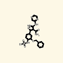 CCS(=O)(=O)Nc1ccc(-c2n[nH]c(Nc3cnccn3)c2C(N)=O)cc1OCc1ccccc1